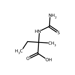 CCC(C)(NC(N)=S)C(=O)O